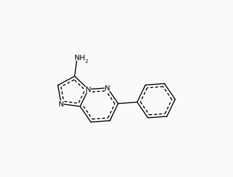 Nc1cnc2ccc(-c3ccccc3)nn12